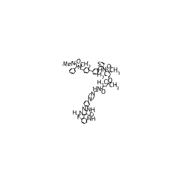 CNC(=O)C(c1ccccc1)N(C)Cc1ccc(-c2cccc(-c3sccc3NC(=O)C(C)(C)CCOC(C)(C)CCC(=O)NCCN3CCN(c4ccc5nc(-c6c(N)c7c(F)cccc7[nH]c6=O)[nH]c5c4)CC3)c2)cc1